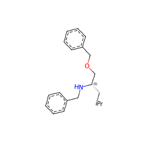 CC(C)C[C@@H](COCc1ccccc1)NCc1ccccc1